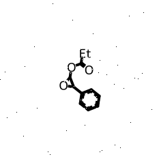 CCC(=O)OC1OC1c1ccccc1